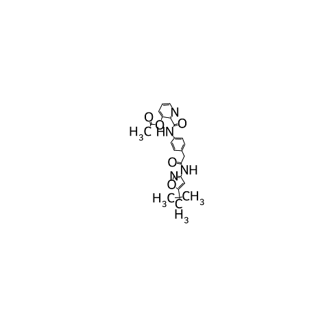 CC(=O)Oc1cccnc1C(=O)Nc1ccc(CC(=O)Nc2cc(C(C)(C)C)on2)cc1